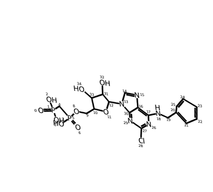 O=P(O)(O)CP(=O)(O)OCC1OC(n2cnc3c(NCc4ccccc4)nc(Cl)nc32)C(O)C1O